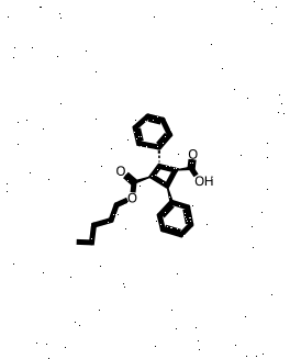 CCCCCOC(=O)[C@H]1[C@H](c2ccccc2)[C@@H](C(=O)O)[C@H]1c1ccccc1